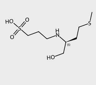 CSCC[C@@H](CO)NCCCS(=O)(=O)O